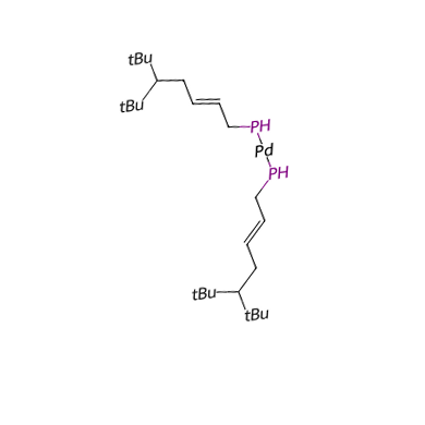 CC(C)(C)C(CC=CC[PH][Pd][PH]CC=CCC(C(C)(C)C)C(C)(C)C)C(C)(C)C